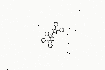 c1ccc(-c2nc(-n3c4ccccc4c4c3ccc3c5ccccc5n(-c5cccnc5)c34)sc2-c2ccccc2)cc1